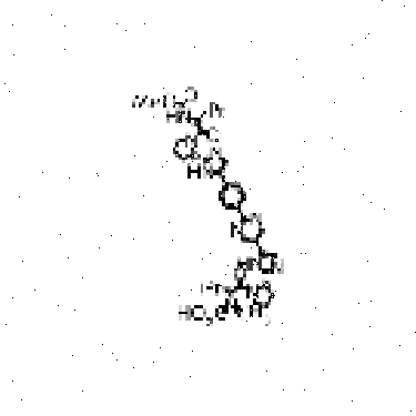 COC(=O)N[C@H](C(=O)N1CCC[C@H]1c1ncc(-c2ccc(-c3ncc(-c4cnc([C@@H]5CCCN5C(=O)[C@H](C(C)C)N(C)C(=O)O)[nH]4)cn3)cc2)[nH]1)C(C)C